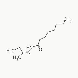 CCCCCCCC(=O)NN=C(C)CC